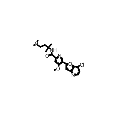 COc1cc(C(=O)NC(C)(C)CCN(C)C)ncc1-c1cc2nccc(Cl)c2o1